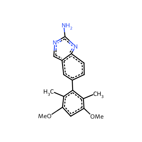 COc1cc(OC)c(C)c(-c2ccc3nc(N)ncc3c2)c1C